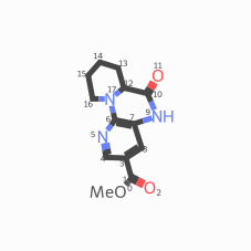 COC(=O)c1cnc2c(c1)NC(=O)C1CCCCN21